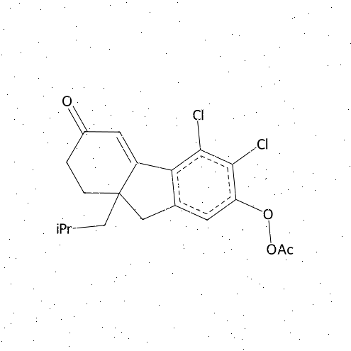 CC(=O)OOc1cc2c(c(Cl)c1Cl)C1=CC(=O)CCC1(CC(C)C)C2